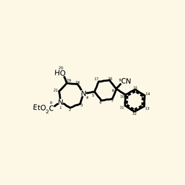 CCOC(=O)N1CCN(C2CCC(C#N)(c3ccccc3)CC2)CC(O)C1